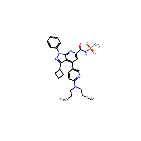 COCCN(CCOC)c1ccc(-c2cc(C(=O)NS(C)(=O)=O)nc3c2c(C2CCC2)nn3-c2ccccc2)cn1